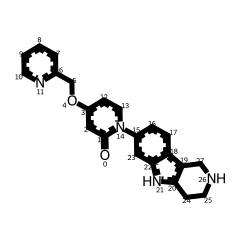 O=c1cc(OCc2ccccn2)ccn1-c1ccc2c3c([nH]c2c1)CCNC3